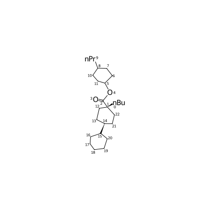 CCCC[C@]1(C(=O)OC2CCC(CCC)CC2)CC[C@H](C2CCCCC2)CC1